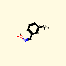 O/N=C\c1cccc(C(F)(F)F)c1